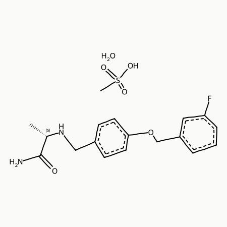 CS(=O)(=O)O.C[C@H](NCc1ccc(OCc2cccc(F)c2)cc1)C(N)=O.O